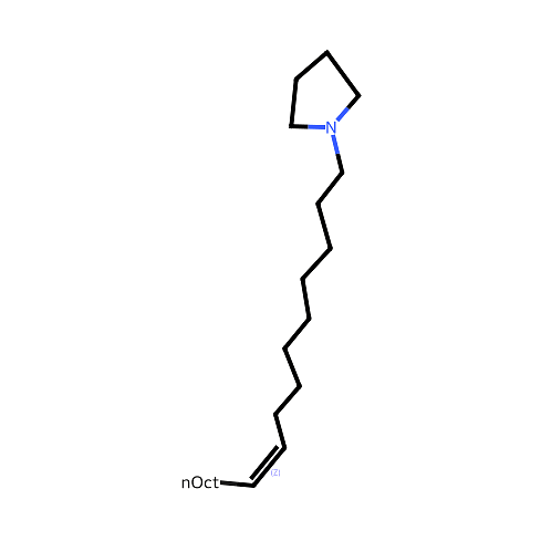 CCCCCCCC/C=C\CCCCCCCCN1CCCC1